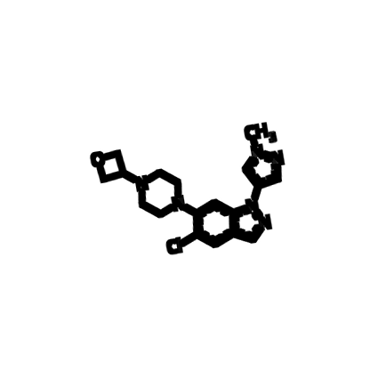 Cn1cc(-n2ncc3cc(Cl)c(N4CCN(C5COC5)CC4)cc32)cn1